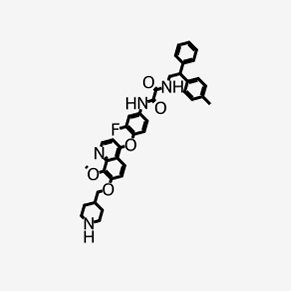 COc1c(OCC2CCNCC2)ccc2c(Oc3ccc(NC(=O)C(=O)NCC(c4ccccc4)c4ccc(C)cc4)cc3F)ccnc12